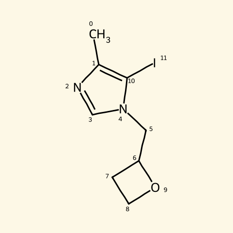 Cc1ncn(CC2CCO2)c1I